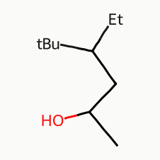 CCC(CC(C)O)C(C)(C)C